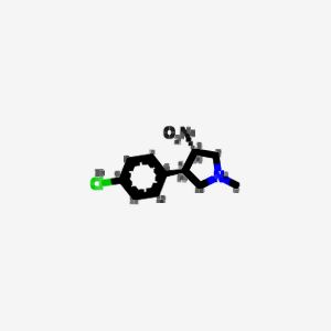 CN1C[C@@H]([N+](=O)[O-])[C@H](c2ccc(Cl)cc2)C1